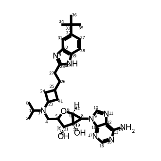 CC(C)N(CC1O[C@H]2C(n3cnc4c(N)ncnc43)[C@@]2(O)[C@@H]1O)C1CC(CCc2nc3cc(C(C)(C)C)ccc3[nH]2)C1